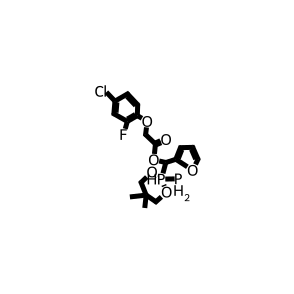 CC1(C)CO[PH](P)(C(OC(=O)COc2ccc(Cl)cc2F)c2ccco2)OC1